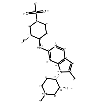 Cc1cc2cnc(N[C@@H]3CCN(S(C)(=O)=O)C[C@H]3F)nc2n1[C@H]1CCN(C)C[C@H]1F